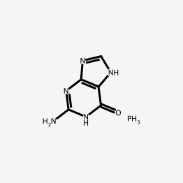 Nc1nc2nc[nH]c2c(=O)[nH]1.P